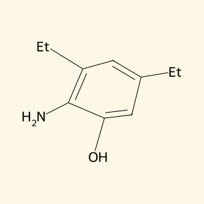 CCc1cc(O)c(N)c(CC)c1